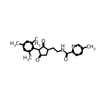 Cc1ccc(C(=O)NCCC2CC(=O)C(c3c(C)cc(C)cc3C)C2=O)nc1